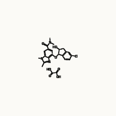 Cc1nc2c(OC3c4ccc(Cl)cc4CC3O)cc(C(=O)N(C)C)cc2n1C.O=C(O)C(=O)O